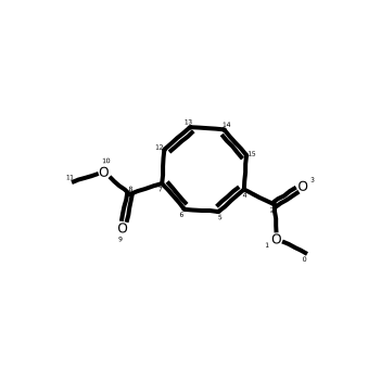 COC(=O)C1=CC=C(C(=O)OC)C=CC=C1